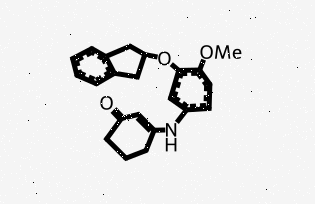 COc1ccc(NC2=CC(=O)CCC2)cc1OC1Cc2ccccc2C1